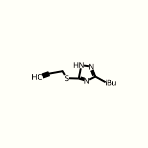 C#CCSc1nc(C(C)CC)n[nH]1